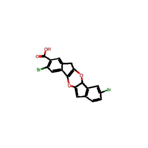 O=C(O)c1cc2c(cc1Br)C1=C(C2)OC2C(=Cc3ccc(Br)cc32)O1